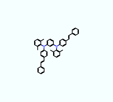 Cc1cccc(C)c1N(c1ccc(/C=C/c2ccccc2)cc1)c1cccc(N(c2ccc(/C=C/c3ccccc3)cc2)c2c(C)cccc2C)c1